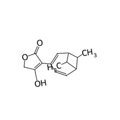 CC1C2C=CC(C3=C(O)COC3=O)=CC1C2C